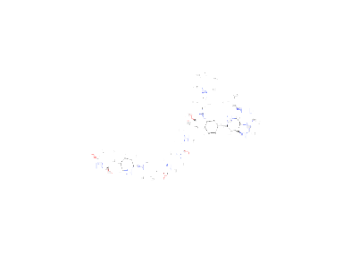 CC(C(=O)N1CCN(C(=O)C2CCN(c3ccc(C4CCC(=O)NC4=O)cn3)CC2)CC1)N1CCC2(CC1)C(=O)N(C1CC(N3CCCCC3)C1)c1cc(-c3cc4ncn(C(C)C)c4c(NC4CC4)n3)ccc12